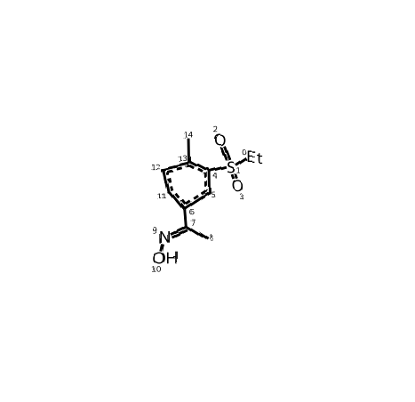 CCS(=O)(=O)c1cc(/C(C)=N/O)ccc1C